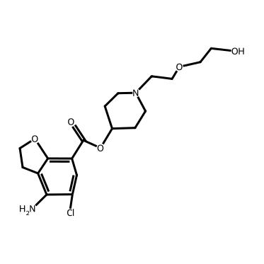 Nc1c(Cl)cc(C(=O)OC2CCN(CCOCCO)CC2)c2c1CCO2